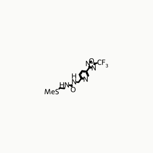 CSCCNC(=O)NCc1ccc(-c2noc(C(F)(F)F)n2)cn1